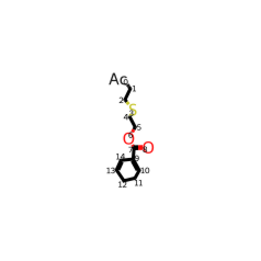 CC(=O)CCSCCOC(=O)C1=CCCC=C1